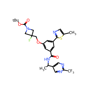 Cc1cnc(-c2cc(OCC3(F)CN(C(=O)OC(C)(C)C)C3)cc(C(=O)NC(C)c3cnc(C(F)(F)F)nc3)c2)s1